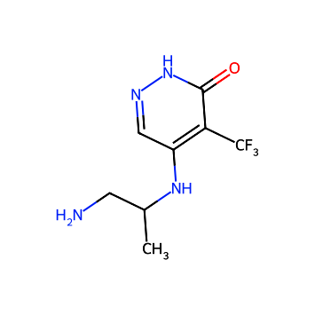 CC(CN)Nc1cn[nH]c(=O)c1C(F)(F)F